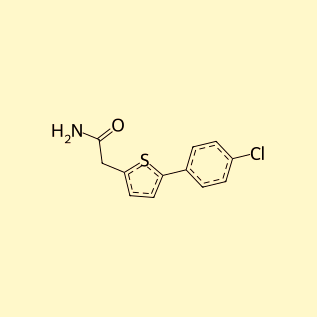 NC(=O)Cc1ccc(-c2ccc(Cl)cc2)s1